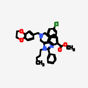 CCCCn1c(-c2ccccc2)nc(-c2ccc(Cl)cc2)c1CN(Cc1ccc(C(=O)OC)cc1)Cc1ccc2c(c1)OCCO2